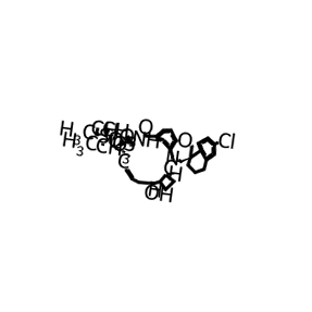 CC(C)(C)[Si](C)(C)OC[C@H]1C/C=C\C[C@H](O)[C@@H]2CC[C@H]2CN2C[C@@]3(CCCc4cc(Cl)ccc43)COc3ccc(cc32)C(=O)NS1(=O)=O